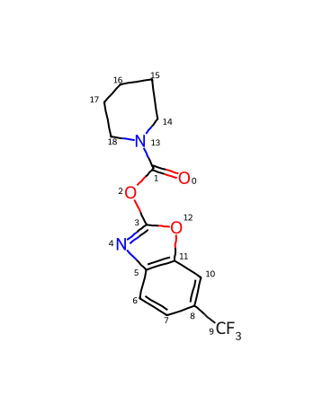 O=C(Oc1nc2ccc(C(F)(F)F)cc2o1)N1CCCCC1